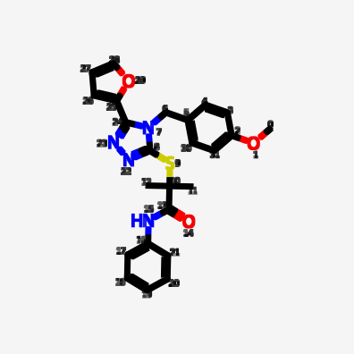 COc1ccc(Cn2c(SC(C)(C)C(=O)Nc3ccccc3)nnc2-c2ccco2)cc1